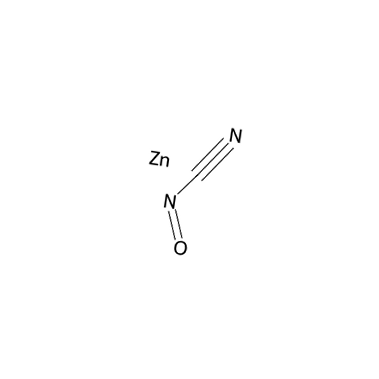 N#CN=O.[Zn]